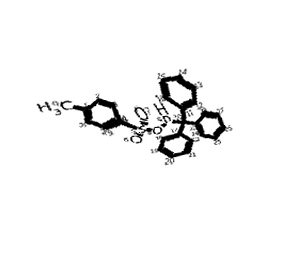 Cc1ccc(S(=O)(=O)OPC(c2ccccc2)(c2ccccc2)c2ccccc2)cc1